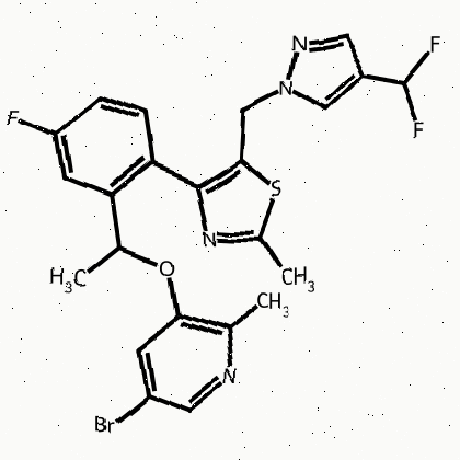 Cc1nc(-c2ccc(F)cc2C(C)Oc2cc(Br)cnc2C)c(Cn2cc(C(F)F)cn2)s1